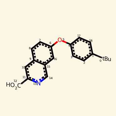 CC(C)(C)c1ccc(Oc2ccc3cc(C(=O)O)ncc3c2)cc1